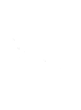 CC1(c2cccc(NC(=O)c3ccc(Cl)s3)c2)COCC(N)=N1